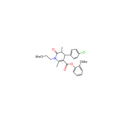 COCCN1C(=O)C(C)C(c2ccc(Cl)cc2)C(C(=O)Oc2ccccc2OC)=C1C